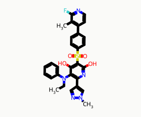 CCN(c1ccccc1)c1c(-c2cnn(C)c2)nc(O)c(S(=O)(=O)c2ccc(-c3ccnc(F)c3C)cc2)c1O